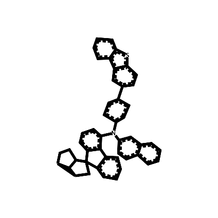 c1ccc2c(c1)-c1c(N(c3ccc(-c4ccc5sc6ccccc6c5c4)cc3)c3ccc4ccccc4c3)cccc1C21CC2C3CCC1C32